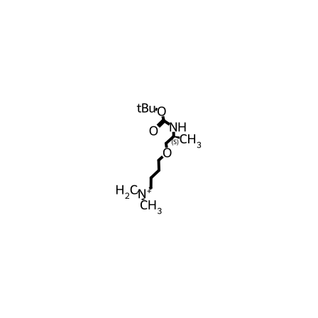 C=[N+](C)CCCCOC[C@H](C)NC(=O)OC(C)(C)C